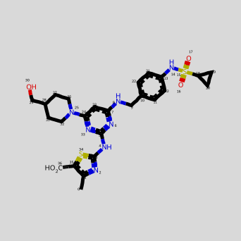 Cc1nc(Nc2nc(NCc3ccc(NS(=O)(=O)C4CC4)cc3)cc(N3CCC(CO)CC3)n2)sc1C(=O)O